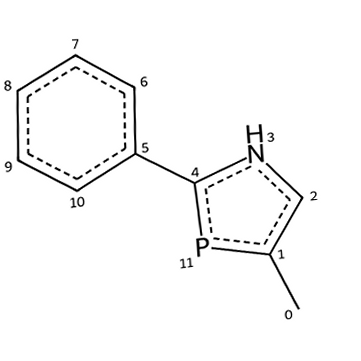 Cc1c[nH]c(-c2ccccc2)p1